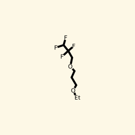 CCOCCCOCC(F)(F)C(F)F